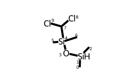 C[SiH](C)O[Si](C)(C)C(Cl)Cl